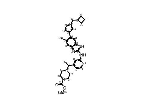 CC(c1ccnc(Nc2nc3cc(F)c(-c4cnn(CC5CCC5)c4)cc3[nH]2)c1)N1CCN(C(=O)OC(C)(C)C)CC1